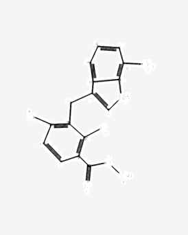 CC(C)(C)OC(=O)c1ccc(Cl)c(Cc2c[nH]c3c(C(F)(F)F)cccc23)c1Cl